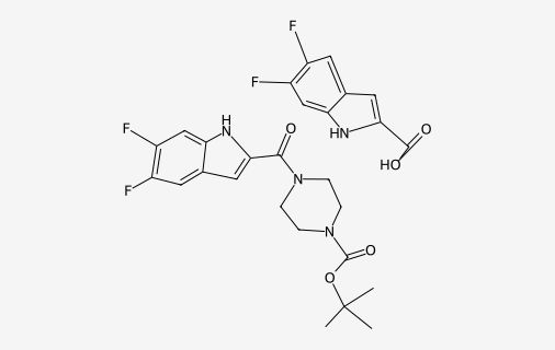 CC(C)(C)OC(=O)N1CCN(C(=O)c2cc3cc(F)c(F)cc3[nH]2)CC1.O=C(O)c1cc2cc(F)c(F)cc2[nH]1